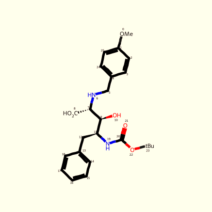 COc1ccc(CN[C@@H](C(=O)O)[C@@H](O)[C@H](Cc2ccccc2)NC(=O)OC(C)(C)C)cc1